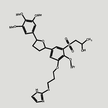 CCCOc1c(OCCCSc2ncc[nH]2)cc(C2CCC(c3cc(OC)c(OC)c(OC)c3)O2)cc1S(=O)(=O)CC(C)O